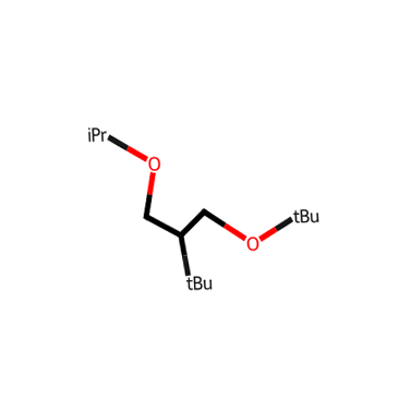 CC(C)OCC(COC(C)(C)C)C(C)(C)C